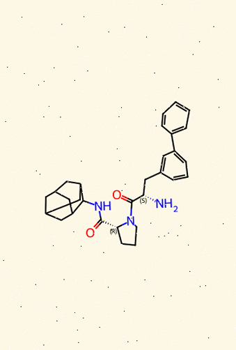 N[C@@H](Cc1cccc(-c2ccccc2)c1)C(=O)N1CCC[C@@H]1C(=O)NC1C2CC3CC(C2)CC1C3